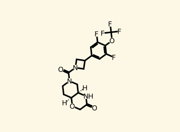 O=C1CO[C@H]2CCN(C(=O)N3CC(c4cc(F)c(OC(F)(F)F)c(F)c4)C3)C[C@H]2N1